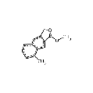 COB1OCc2cc3cccc(C)c3cc21